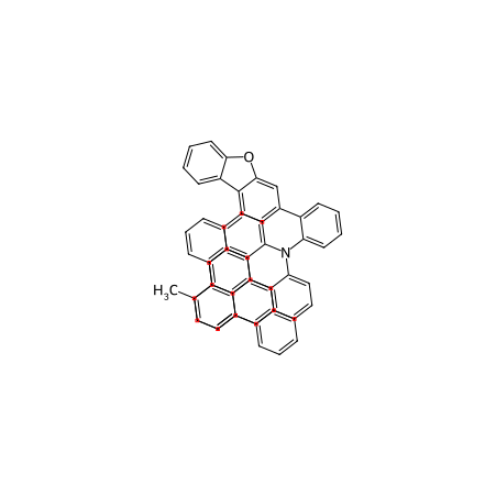 CC1CC=C(c2ccccc2)c2c(-c3ccccc3N(c3ccccc3-c3ccc4c(c3)oc3ccccc34)c3ccccc3-c3cccc4cccc(-c5ccccc5)c34)cccc21